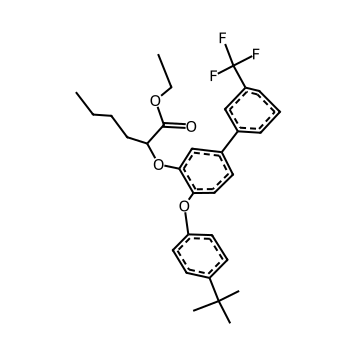 CCCCC(Oc1cc(-c2cccc(C(F)(F)F)c2)ccc1Oc1ccc(C(C)(C)C)cc1)C(=O)OCC